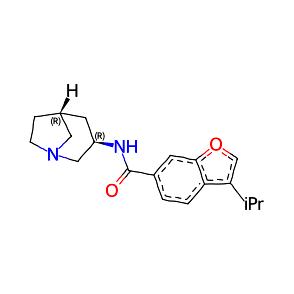 CC(C)c1coc2cc(C(=O)N[C@@H]3C[C@H]4CCN(C4)C3)ccc12